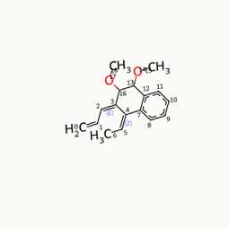 C=C/C=C1\C(=C/C)c2ccccc2C(OC)C1OC